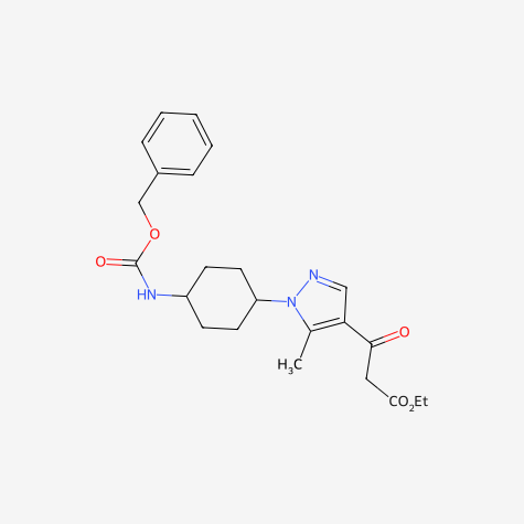 CCOC(=O)CC(=O)c1cnn(C2CCC(NC(=O)OCc3ccccc3)CC2)c1C